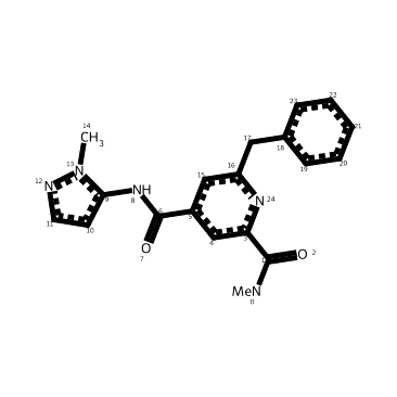 CNC(=O)c1cc(C(=O)Nc2ccnn2C)cc(Cc2ccccc2)n1